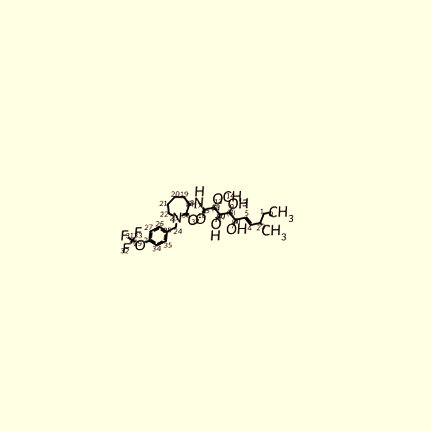 CCC(C)C=C[C@@H](O)[C@H](O)[C@@H](O)[C@@H](OC)C(=O)N[C@H]1CCCCN(Cc2ccc(OC(F)(F)F)cc2)C1=O